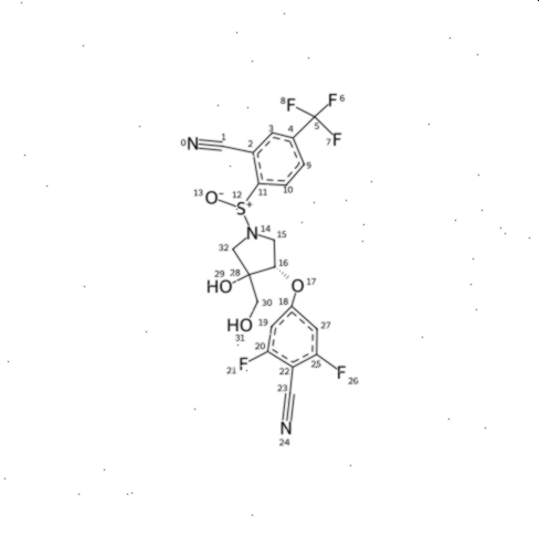 N#Cc1cc(C(F)(F)F)ccc1[S+]([O-])N1C[C@H](Oc2cc(F)c(C#N)c(F)c2)C(O)(CO)C1